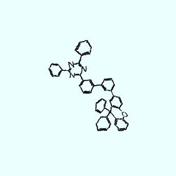 C1=CCCC(C2(c3ccccc3)c3ccccc3Oc3ccc(-c4cccc(-c5cccc(-c6nc(-c7ccccc7)nc(-c7ccccc7)n6)c5)c4)cc32)=C1